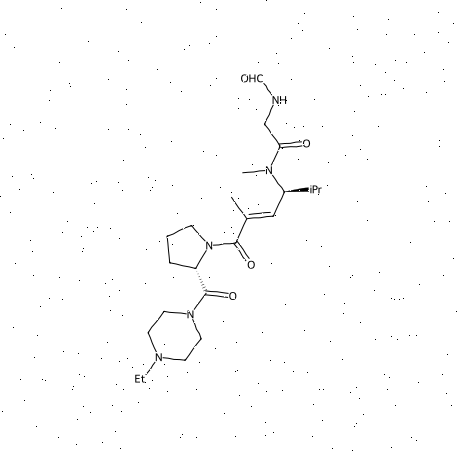 CCN1CCN(C(=O)[C@@H]2CCCN2C(=O)/C(C)=C/[C@H](C(C)C)N(C)C(=O)CNC=O)CC1